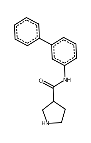 O=C(Nc1cccc(-c2ccccc2)c1)C1CCNC1